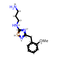 COc1ccccc1Cc1nsc(NCCCN)n1